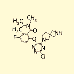 CCN(C(=O)c1cc(F)ccc1Oc1nnc(Cl)nc1N1CCC2(CNC2)C1)C(C)C